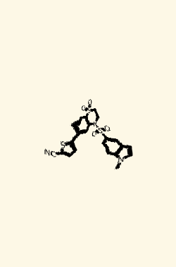 Cn1ccc2cc(S(=O)(=O)N3CCS(=O)(=O)c4ccc(-c5ccc(C#N)s5)cc43)ccc21